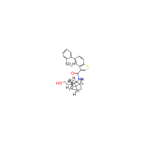 CC1(C)[C@H]2C[C@H](CCO)[C@@H](NC(=O)c3csc4ccc(-c5ccccc5S(=O)(=O)O)cc34)[C@@H]1C2